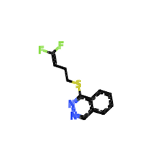 FC(F)=CCCSc1nncc2ccccc12